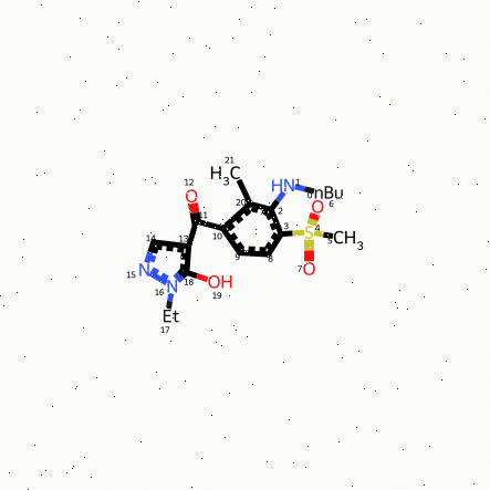 CCCCNc1c(S(C)(=O)=O)ccc(C(=O)c2cnn(CC)c2O)c1C